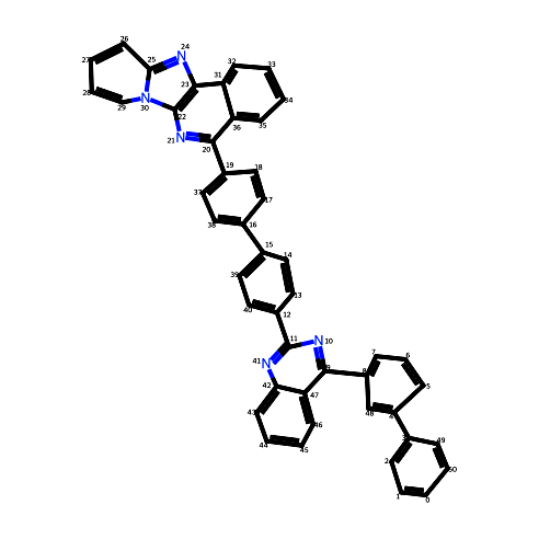 c1ccc(-c2cccc(-c3nc(-c4ccc(-c5ccc(-c6nc7c(nc8ccccn87)c7ccccc67)cc5)cc4)nc4ccccc34)c2)cc1